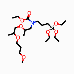 CCOC(=O)N(CCC[Si](OCC)(OCC)OCC)CC(C)OCC(C)OCCCOC